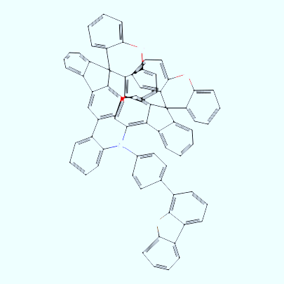 c1ccc2c(c1)Oc1ccccc1C21c2ccccc2-c2cc(-c3ccccc3N(c3ccc(-c4cccc5c4sc4ccccc45)cc3)c3cccc4c3-c3ccccc3C43c4ccccc4Oc4ccccc43)ccc21